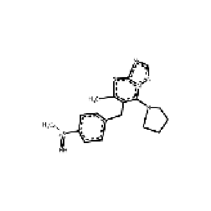 Cc1nc2ncnn2c(N2CCCC2)c1Cc1ccc([S@@](C)=N)cc1